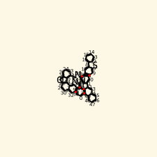 c1ccc(-c2nc(-c3ccc4sc5ccccc5c4c3)nc(-c3cccc4oc5ccc6ccc(-n7c8ccccc8c8cc9ccccc9cc87)cc6c5c34)n2)cc1